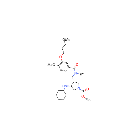 COCCCOc1cc(C(=O)N(C[C@@H]2CN(C(=O)OC(C)(C)C)C[C@H]2NC2CCCCC2)C(C)C)ccc1OC